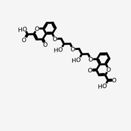 O=C(O)c1cc(=O)c2c(OCC(O)COCC(O)COc3cccc4oc(C(=O)O)cc(=O)c34)cccc2o1